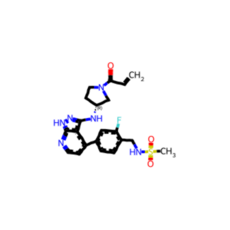 C=CC(=O)N1CC[C@@H](Nc2n[nH]c3nccc(-c4ccc(CNS(C)(=O)=O)c(F)c4)c23)C1